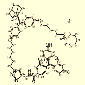 C[N+]1(CCCCCCOc2ccc(C(=C3C4CC5CC(C4)CC3C5)c3ccc(OCCCCCCn4cc(CNC(=O)c5ccc(-c6c7ccc(=O)cc-7oc7cc(O)ccc67)c(C(=O)O)c5)nn4)cc3)cc2)CCCCCC1.[I-]